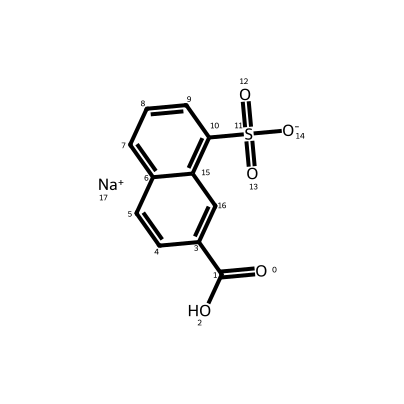 O=C(O)c1ccc2cccc(S(=O)(=O)[O-])c2c1.[Na+]